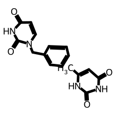 Cc1cc(=O)[nH]c(=O)[nH]1.O=c1ccn(Cc2ccccc2)c(=O)[nH]1